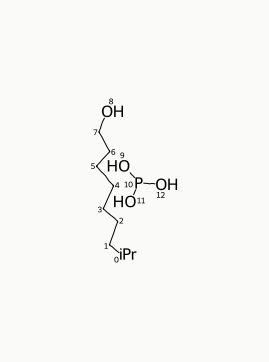 CC(C)CCCCCCCO.OP(O)O